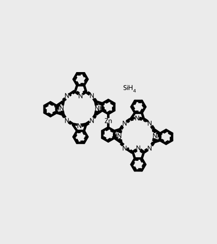 [SiH4].c1ccc2c(c1)-c1nc-2nc2[nH]c(nc3nc(nc4[nH]c(n1)c1ccccc41)-c1ccccc1-3)c1[c]([Zn][c]3cccc4c5nc6nc(nc7[nH]c(nc8nc(nc([nH]5)c34)-c3ccccc3-8)c3ccccc73)-c3ccccc3-6)cccc21